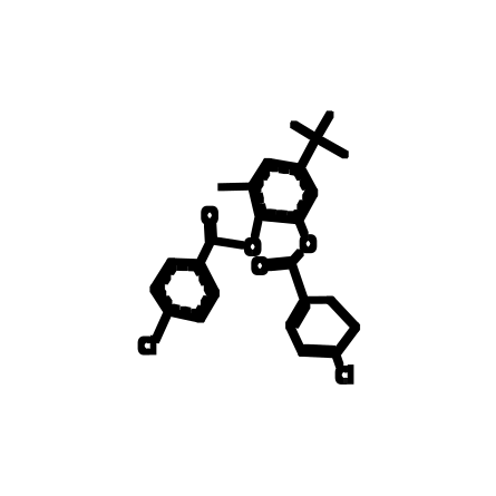 Cc1cc(C(C)(C)C)cc(OC(=O)C2=CC=C(Cl)CC2)c1OC(=O)c1ccc(Cl)cc1